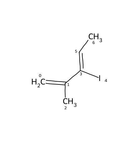 C=C(C)/C(I)=C/C